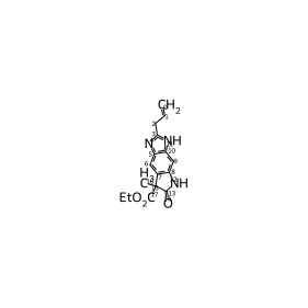 C=CCc1nc2cc3c(cc2[nH]1)NC(=O)C3(C)C(=O)OCC